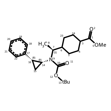 COC(=O)C1CCC([C@H](C)N(C(=O)OC(C)(C)C)[C@@H]2C[C@@H]2c2ccccc2)CC1